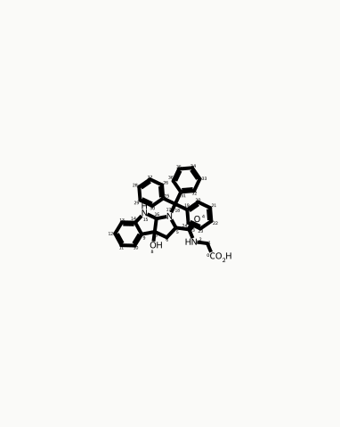 O=C(O)CNC(=O)C1CC2(O)c3ccccc3NC2N1C(c1ccccc1)(c1ccccc1)c1ccccc1